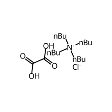 CCCC[N+](CCCC)(CCCC)CCCC.O=C(O)C(=O)O.[Cl-]